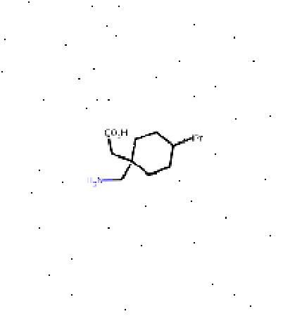 CC(C)C1CCC(CN)(CC(=O)O)CC1